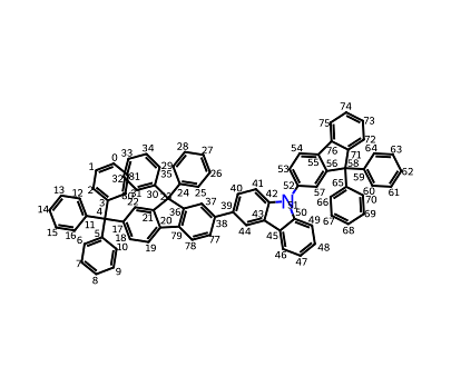 c1ccc(C(c2ccccc2)(c2ccccc2)c2ccc3c(c2)C(c2ccccc2)(c2ccccc2)c2cc(-c4ccc5c(c4)c4ccccc4n5-c4ccc5c(c4)C(c4ccccc4)(c4ccccc4)c4ccccc4-5)ccc2-3)cc1